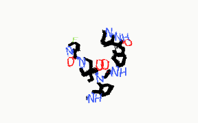 CCC1(C(=O)N(CC(=O)Nc2ccc3c(c2)C[C@@]2(C3)C(=O)Nc3ncccc32)Cc2ccccc2CNC)CCN(C(=O)c2ccc(F)cn2)CC1